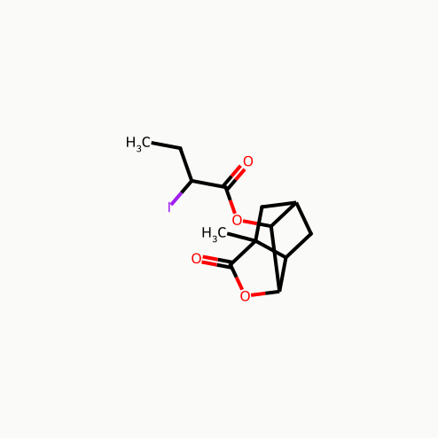 CCC(I)C(=O)OC1C2CC3C1OC(=O)C3(C)C2